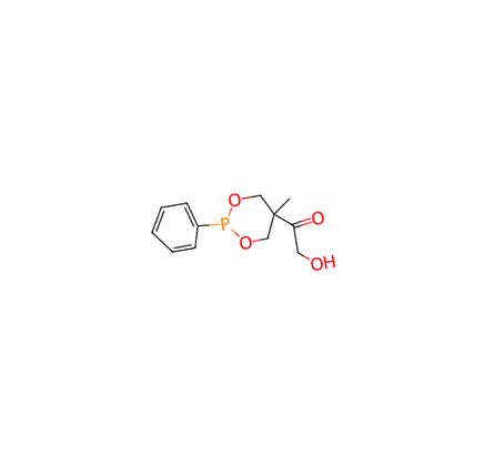 CC1(C(=O)CO)COP(c2ccccc2)OC1